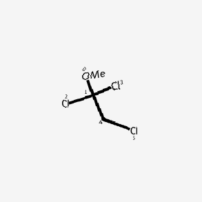 COC(Cl)(Cl)CCl